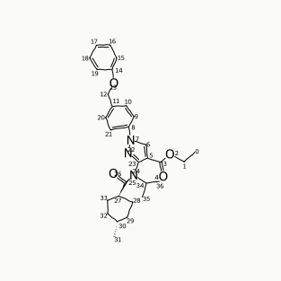 CCOC(=O)c1cn(-c2ccc(COc3ccccc3)cc2)nc1N(C(=O)[C@H]1CC[C@H](C)CC1)C(C)C